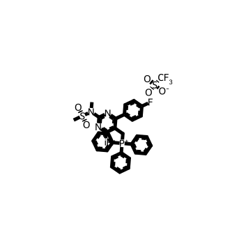 CC(C)c1nc(N(C)S(C)(=O)=O)nc(-c2ccc(F)cc2)c1C[P+](c1ccccc1)(c1ccccc1)c1ccccc1.O=S(=O)([O-])C(F)(F)F